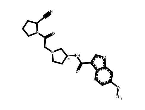 COc1ccc2c(C(=O)N[C@H]3CCN(CC(=O)N4CCCC4C#N)C3)coc2c1